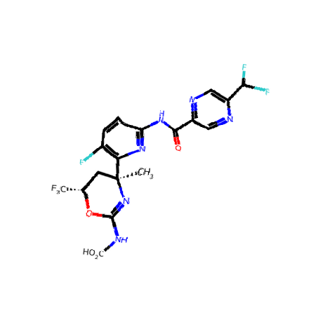 C[C@@]1(c2nc(NC(=O)c3cnc(C(F)F)cn3)ccc2F)C[C@@H](C(F)(F)F)OC(NC(=O)O)=N1